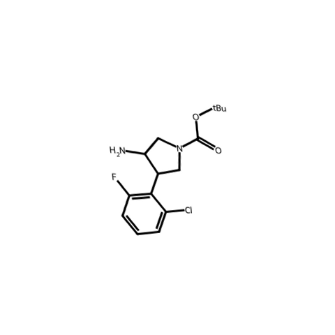 CC(C)(C)OC(=O)N1CC(N)C(c2c(F)cccc2Cl)C1